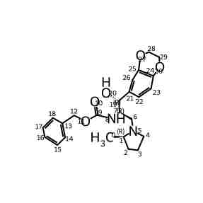 C[C@@H]1CCCN1C[C@@H](NC(=O)OCc1ccccc1)[C@H](O)c1ccc2c(c1)OCCO2